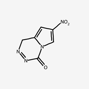 O=C1N=NCc2cc([N+](=O)[O-])cn21